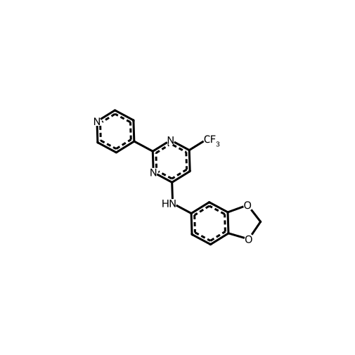 FC(F)(F)c1cc(Nc2ccc3c(c2)OCO3)nc(-c2ccncc2)n1